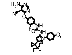 COc1ccc(-n2nc(C3(C(F)(F)F)CC3)cc2NC(=O)Nc2ccc(Oc3ncnc(N)c3C#N)cc2F)cc1